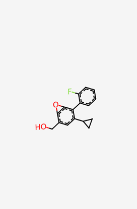 OCc1cc(C2CC2)c(-c2ccccc2F)c2c1O2